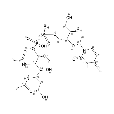 COC(OP(=O)(O)OP(=O)(O)OC[C@@H](OC(C)n1ccc(=O)[nH]c1=O)[C@H](O)CO)C(NC(C)=O)C(O)C(CCO)NC(C)=O